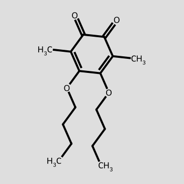 CCCCOC1=C(C)C(=O)C(=O)C(C)=C1OCCCC